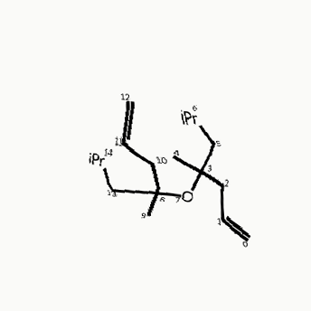 C=CCC(C)(CC(C)C)OC(C)(CC=C)CC(C)C